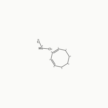 C1=CCCCCC=C1.[Cl][Mo][Cl]